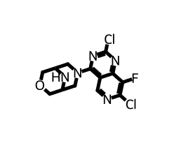 Fc1c(Cl)ncc2c(N3CC4COCC(C3)N4)nc(Cl)nc12